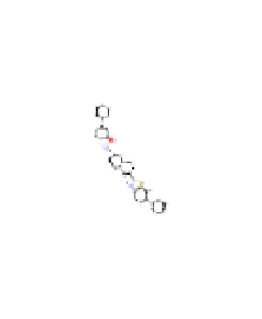 c1ccc(-c2ccc3nc(-c4ccc5cc(-c6nc7ccc(-c8ccccc8)cc7s6)ccc5c4)oc3c2)cc1